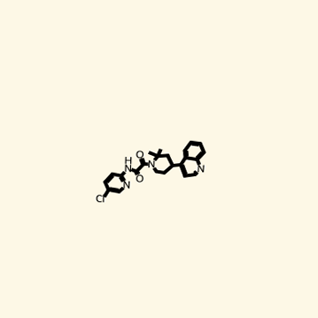 CC1(C)CC(c2ccnc3ccccc23)CCN1C(=O)C(=O)Nc1ccc(Cl)cn1